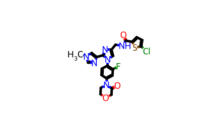 Cn1cnc(-c2nc(CNC(=O)c3ccc(Cl)s3)cn2-c2ccc(N3CCOCC3=O)cc2F)c1